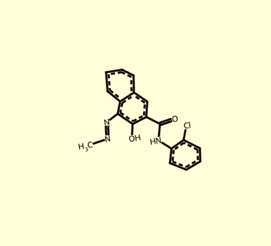 CN=Nc1c(O)c(C(=O)Nc2ccccc2Cl)cc2ccccc12